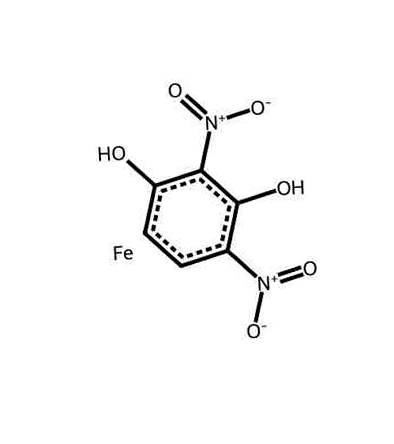 O=[N+]([O-])c1ccc(O)c([N+](=O)[O-])c1O.[Fe]